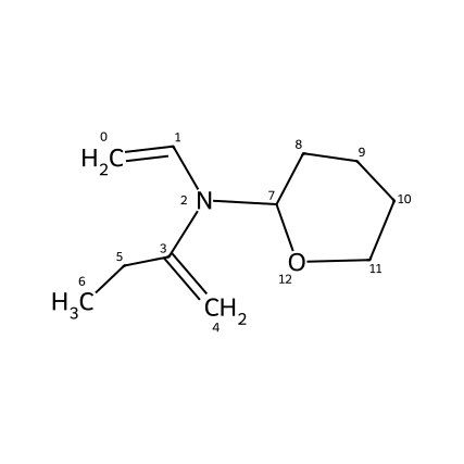 C=CN(C(=C)CC)C1CCCCO1